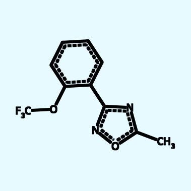 Cc1nc(-c2ccccc2OC(F)(F)F)no1